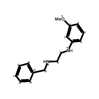 COc1cccc(NCCNCc2ccccc2)c1